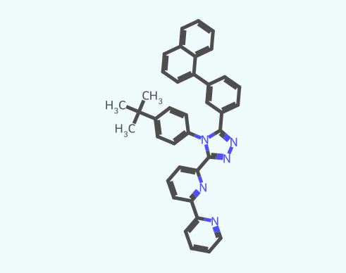 CC(C)(C)c1ccc(-n2c(-c3cccc(-c4cccc5ccccc45)c3)nnc2-c2cccc(-c3ccccn3)n2)cc1